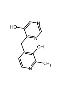 Cc1nccc(Cc2ncncc2O)c1O